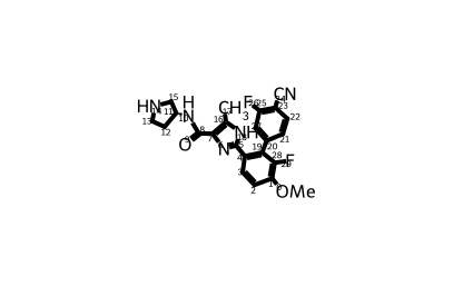 COc1ccc(-c2nc(C(=O)N[C@@H]3CCNC3)c(C)[nH]2)c(-c2ccc(C#N)c(F)c2)c1F